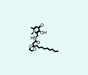 CCCCCCCCCC1(CC(=O)NCc2c(O)c(=O)cc(C)n2C)OCCO1